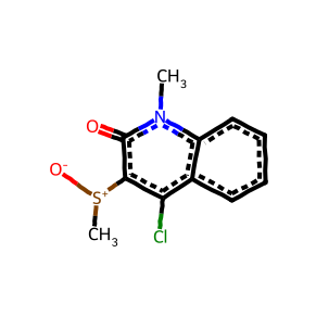 Cn1c(=O)c([S+](C)[O-])c(Cl)c2ccccc21